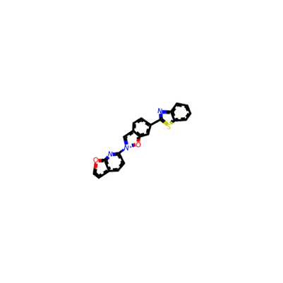 c1ccc2sc(-c3ccc4c[n+](-c5ccc6ccoc6n5)oc4c3)nc2c1